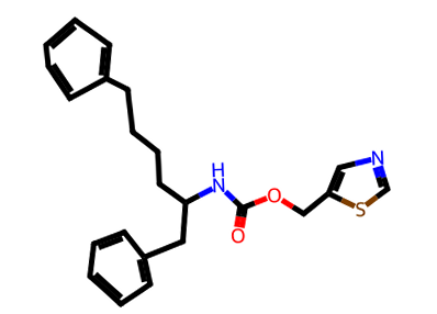 O=C(NC(CCCCc1ccccc1)Cc1ccccc1)OCc1cncs1